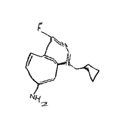 Nc1ccc2c(F)nn(C3CC3)c2c1